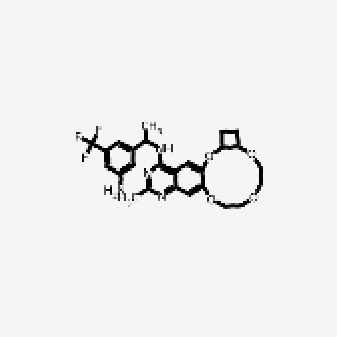 Cc1nc(NC(C)c2cc(N)cc(C(F)(F)F)c2)c2cc3c(cc2n1)OCCOCCOC1CCC1O3